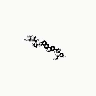 COC(=O)N[C@H](C(=O)N1[C@@H](C)CC[C@H]1c1nc2ccc3cc4c(cc3c2[nH]1)OCc1cc(-c2cnc([C@@H]3C[C@H](C)CN3C(=O)[CH]C(C)C)[nH]2)ccc1-4)[C@@H](C)OC